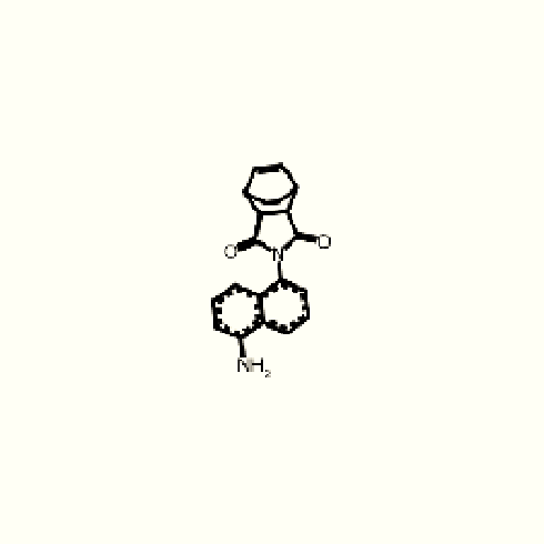 Nc1cccc2c(N3C(=O)C4C5C=CC(CC5)C4C3=O)cccc12